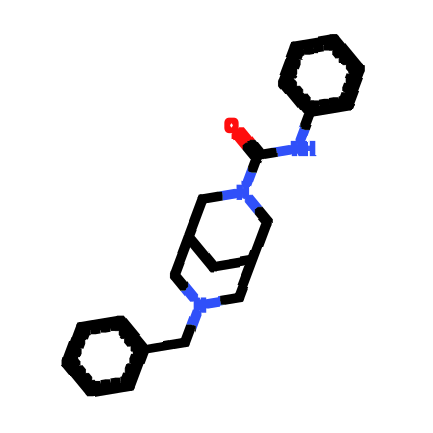 O=C(Nc1ccccc1)N1CC2CC(CN(Cc3ccccc3)C2)C1